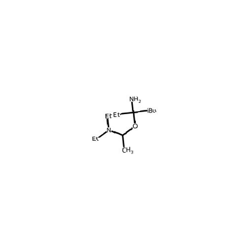 CCC(C)C(N)(CC)OC(C)N(CC)CC